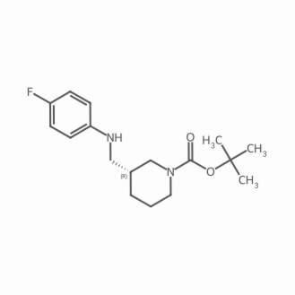 CC(C)(C)OC(=O)N1CCC[C@H](CNc2ccc(F)cc2)C1